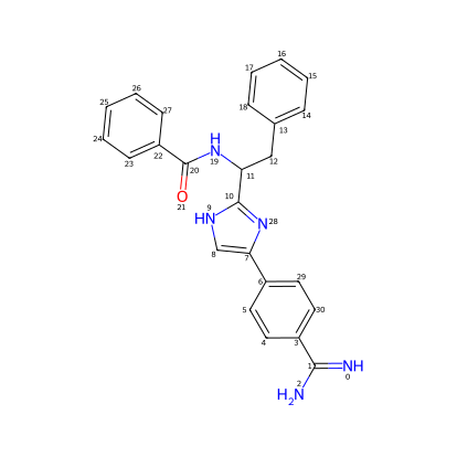 N=C(N)c1ccc(-c2c[nH]c(C(Cc3ccccc3)NC(=O)c3ccccc3)n2)cc1